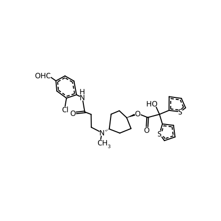 CN(CCC(=O)Nc1ccc(C=O)cc1Cl)[C@H]1CC[C@H](OC(=O)C(O)(c2cccs2)c2cccs2)CC1